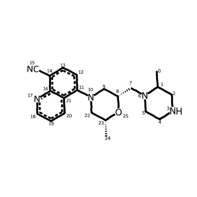 CC1CNCCN1C[C@H]1CN(c2ccc(C#N)c3ncccc23)C[C@@H](C)O1